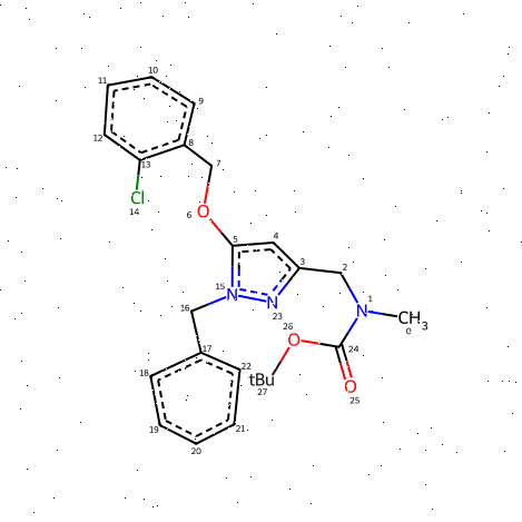 CN(Cc1cc(OCc2ccccc2Cl)n(Cc2ccccc2)n1)C(=O)OC(C)(C)C